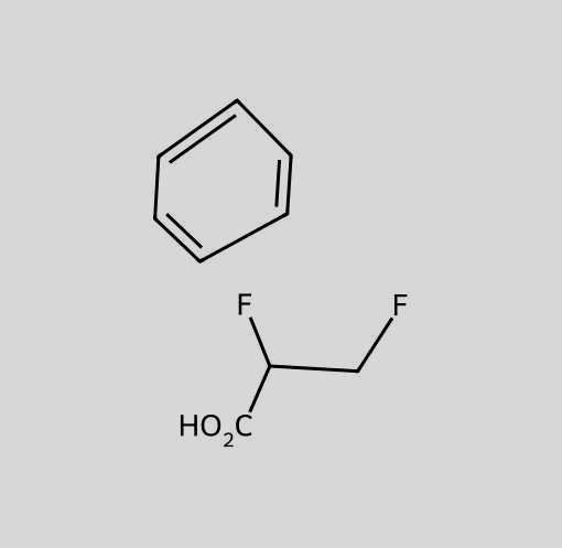 O=C(O)C(F)CF.c1ccccc1